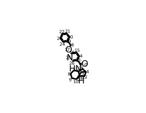 O=C(NC1C2CC3CCCC1[C@H]3C2)c1ccc(OCc2ccccc2)nc1